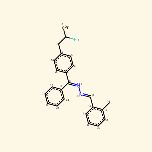 CCCC(F)Cc1ccc(C(=NN=Cc2ccccc2C)c2ccccc2)cc1